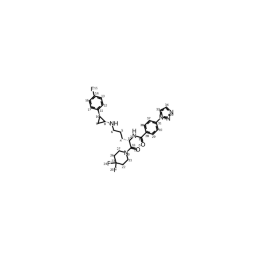 O=C(N[C@@H](CCCN[C@@H]1C[C@H]1c1ccc(F)cc1)C(=O)N1CCC(F)(F)CC1)c1ccc(-n2ccnn2)cc1